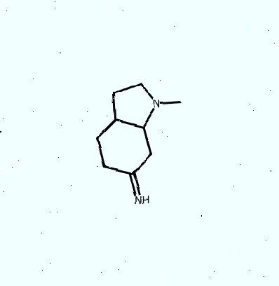 CN1CCC2CCC(=N)CC21